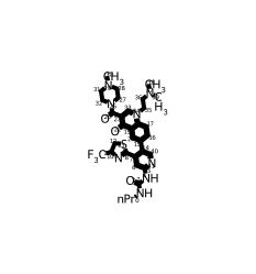 CCCNC(=O)Nc1cc(C2=NC(C(F)(F)F)CS2)c(-c2ccc3c(c2)c(=O)c(C(=O)N2CCN(C)CC2)cn3CCN(C)C)cn1